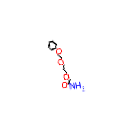 NC(=O)COCCCOCCOc1ccccc1